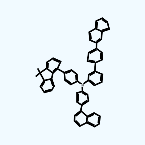 CC1(C)c2ccccc2-c2c(-c3ccc(N(c4ccc(-c5cccc6ccccc56)cc4)c4cccc(-c5ccc(-c6ccc7ccccc7c6)cc5)c4)cc3)cccc21